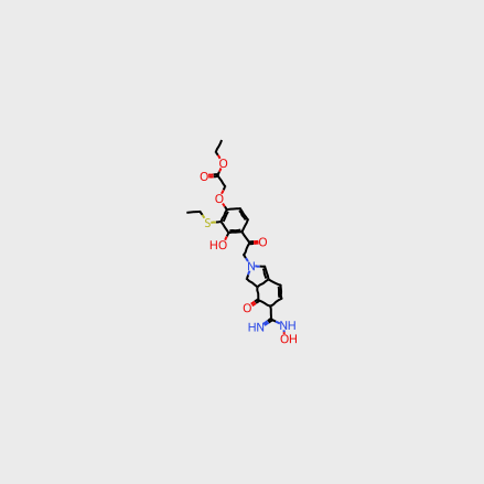 CCOC(=O)COc1ccc(C(=O)CN2C=C3C=CC(C(=N)NO)C(=O)C3C2)c(O)c1SCC